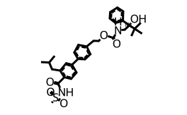 CC(C)Cc1cc(-c2ccc(CCOC(=O)NC[C@](O)(c3ccccc3)C(C)(C)C)cc2)ccc1C(=O)NS(C)(=O)=O